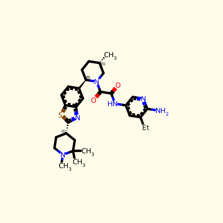 CCc1cc(NC(=O)C(=O)N2C[C@@H](C)CC[C@@H]2c2ccc3sc([C@H]4CCN(C)C(C)(C)C4)nc3c2)cnc1N